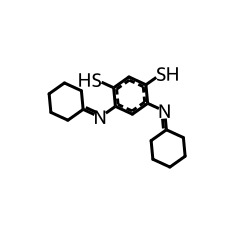 Sc1cc(S)c(N=C2CCCCC2)cc1N=C1CCCCC1